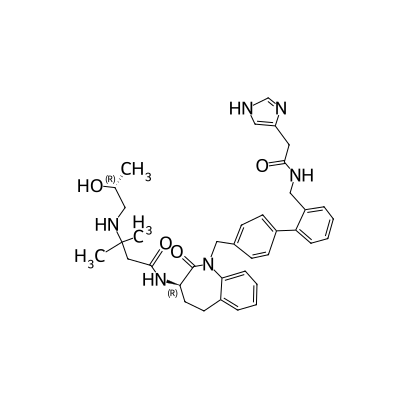 C[C@@H](O)CNC(C)(C)CC(=O)N[C@@H]1CCc2ccccc2N(Cc2ccc(-c3ccccc3CNC(=O)Cc3c[nH]cn3)cc2)C1=O